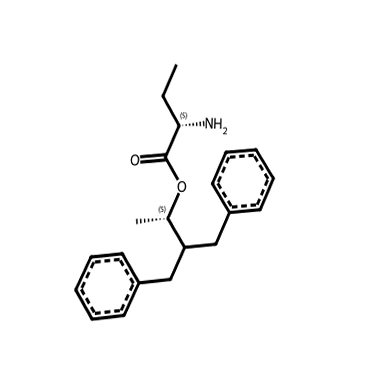 CC[C@H](N)C(=O)O[C@@H](C)C(Cc1ccccc1)Cc1ccccc1